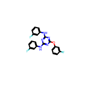 Fc1cccc(Nc2nc(Nc3cccc(F)c3)nc(Oc3cccc(F)c3)n2)c1